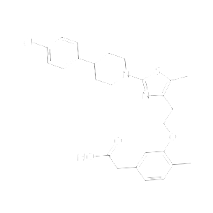 Cc1ccc(CC(=O)O)cc1OCCc1nc(N2CCC(c3ccc(Cl)cc3)CC2)sc1C